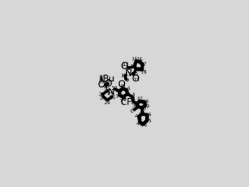 Cc1c(/C=C/c2cc(OCCN3C(=O)c4ccccc4C3=O)c(CN3CCCC[C@H]3C(=O)OC(C)(C)C)cc2C(F)(F)F)cccc1-c1ccccc1